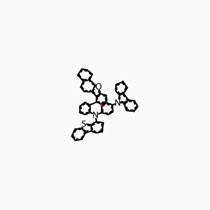 c1ccc(N(c2ccc(-n3c4ccccc4c4ccccc43)cc2)c2cccc3c2sc2ccccc23)c(-c2cccc3oc4c5ccccc5ccc4c23)c1